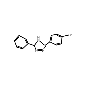 Brc1ccc(N2N=NC(c3ccccc3)N2)cc1